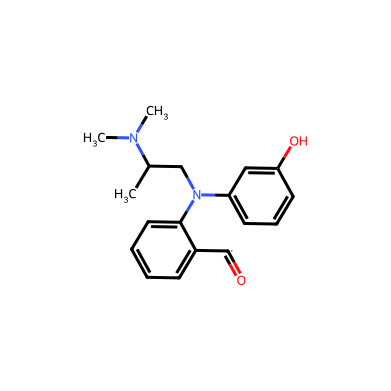 CC(CN(c1cccc(O)c1)c1ccccc1[C]=O)N(C)C